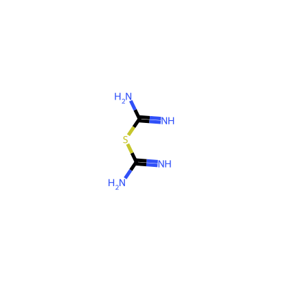 N=C(N)SC(=N)N